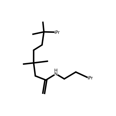 C=C(CC(C)(C)CCC(C)(C)C(C)C)NCCC(C)C